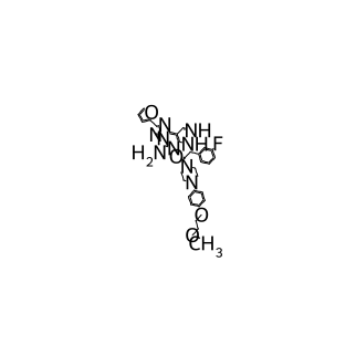 COCCOc1ccc(N2CCN(C(=O)C(Nc3nc(N)n4nc(-c5ccco5)nc4c3C=N)c3cccc(F)c3)CC2)cc1